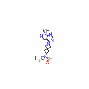 CN([SH]=O)C1CC2(C1)CN(c1ncnc3c1cnn3C)C2